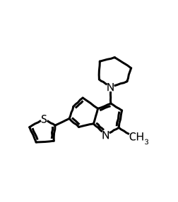 Cc1cc(N2CCCCC2)c2ccc(-c3cccs3)cc2n1